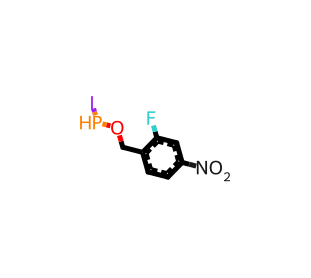 O=[N+]([O-])c1ccc(COPI)c(F)c1